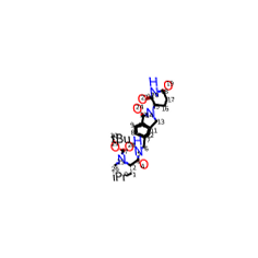 CC(C)C[C@@H](C(=O)NCc1ccc2c(c1)CN(C1CCC(=O)NC1=O)C2=O)N(C)C(=O)OC(C)(C)C